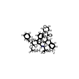 C[C@H]([SiH3])OC(=O)[C@H](Cc1ccccc1)NC(CC(/C=C/C(N)=O)NC(=O)[C@H](Cc1ccccc1)NC(=O)N1CCOCC1)c1ccccc1